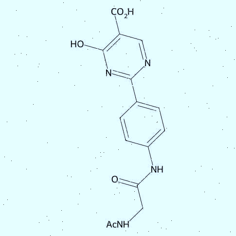 CC(=O)NCC(=O)Nc1ccc(-c2ncc(C(=O)O)c(O)n2)cc1